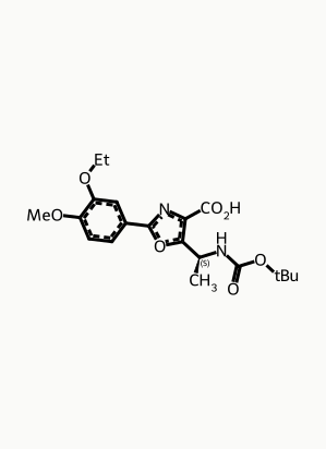 CCOc1cc(-c2nc(C(=O)O)c([C@H](C)NC(=O)OC(C)(C)C)o2)ccc1OC